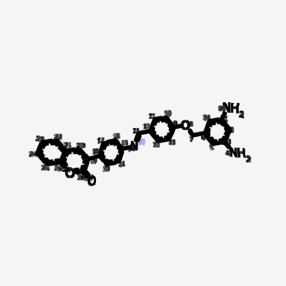 Nc1cc(N)cc(COc2ccc(/C=N/c3ccc(-c4cc5ccccc5oc4=O)cc3)cc2)c1